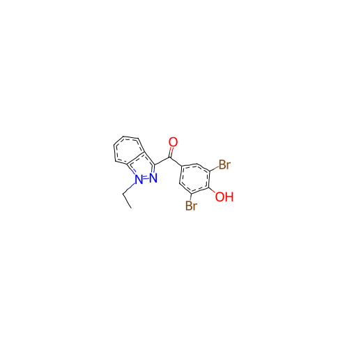 CCn1nc(C(=O)c2cc(Br)c(O)c(Br)c2)c2ccccc21